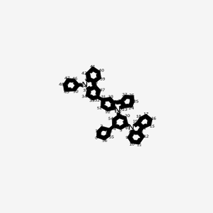 c1ccc(-c2cc(-n3c4ccccc4c4ccccc43)cc(-n3c4ccccc4c4cc(-c5ccc6c(c5)c5ccccc5n6-c5ccccc5)ccc43)c2)cc1